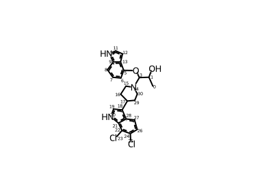 CC(O)C(Oc1cccc2[nH]ccc12)N1CCC(c2c[nH]c3c(Cl)c(Cl)ccc23)CC1